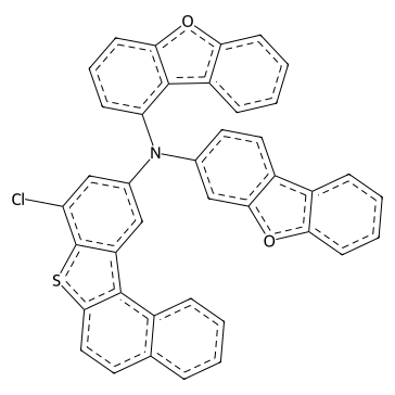 Clc1cc(N(c2ccc3c(c2)oc2ccccc23)c2cccc3oc4ccccc4c23)cc2c1sc1ccc3ccccc3c12